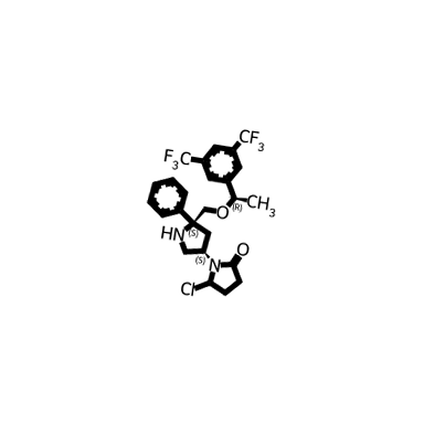 C[C@@H](OC[C@@]1(c2ccccc2)C[C@H](N2C(=O)CCC2Cl)CN1)c1cc(C(F)(F)F)cc(C(F)(F)F)c1